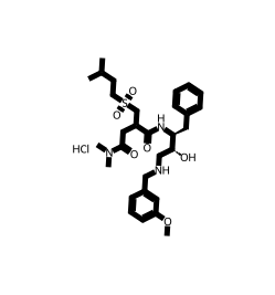 COc1cccc(CNC[C@@H](O)[C@H](Cc2ccccc2)NC(=O)C(CC(=O)N(C)C)CS(=O)(=O)CCC(C)C)c1.Cl